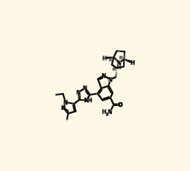 CCn1nc(C)cc1-c1nnc(-c2cc(C(N)=O)cc3c2cnn3C[C@H]2C[C@H]3CC[C@@H](C2)N3)[nH]1